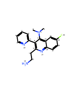 CN(C)c1c(-c2ccccn2)c(CCN)nc2ccc(F)cc12